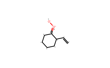 C=CC1CCCCC1=[O+][O-]